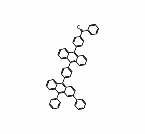 O=C(c1ccccc1)c1ccc(-c2c3ccccc3c(-c3ccc(-c4c5ccccc5c(-c5ccccc5)c5cc(-c6ccccc6)ccc45)cc3)c3ccccc23)cc1